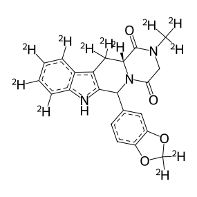 [2H]c1c([2H])c([2H])c2c3c([nH]c2c1[2H])C(c1ccc2c(c1)OC([2H])([2H])O2)N1C(=O)CN(C([2H])([2H])[2H])C(=O)[C@@]1([2H])C3([2H])[2H]